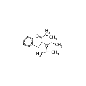 CC(=O)C(Cc1ccccc1)N(C(C)C)C(C)C